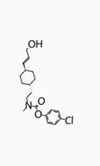 CN(CC[C@H]1CC[C@H](C=CCO)CC1)C(=O)Oc1ccc(Cl)cc1